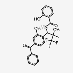 CC(O)(C(NC(=O)c1ccccc1O)c1ccc(C(=O)c2ccccc2)cc1O)C(F)(F)F